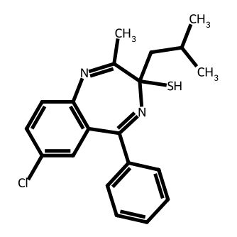 CC1=Nc2ccc(Cl)cc2C(c2ccccc2)=NC1(S)CC(C)C